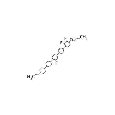 CCCCOc1ccc(-c2ccc(-c3ccc(C4CCC(C5CCC(CCC)CC5)CC4)c(F)c3)cc2)c(F)c1F